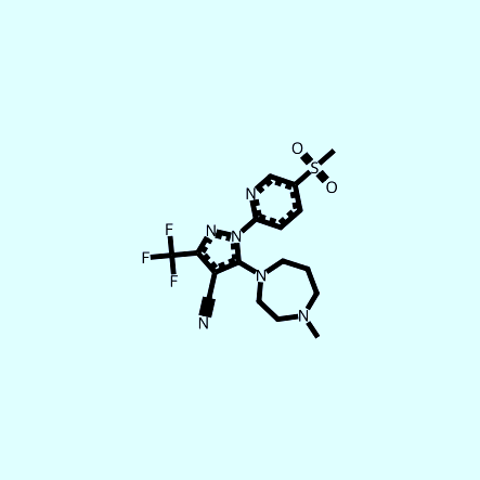 CN1CCCN(c2c(C#N)c(C(F)(F)F)nn2-c2ccc(S(C)(=O)=O)cn2)CC1